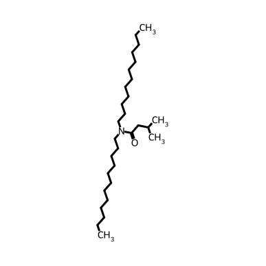 CCCCCCCCCCCCN(CCCCCCCCCCCC)C(=O)CC(C)C